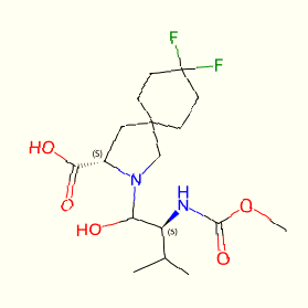 COC(=O)N[C@@H](C(C)C)C(O)N1CC2(CCC(F)(F)CC2)C[C@H]1C(=O)O